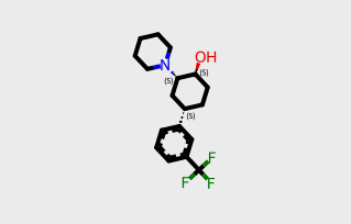 O[C@H]1CC[C@H](c2cccc(C(F)(F)F)c2)C[C@@H]1N1CCCCC1